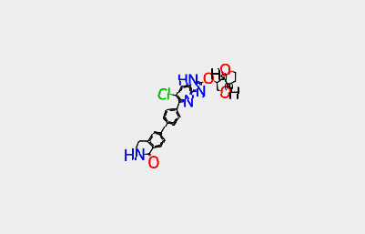 O=C1NCCc2cc(-c3ccc(-c4nc5nc(OC6CO[C@@H]7CCO[C@H]67)[nH]c5cc4Cl)cc3)ccc21